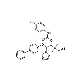 CC(C)(CCl)C(OC(=O)Nc1ccc(Cl)cc1)C(Oc1ccc(-c2ccccc2)cc1)n1ccnc1